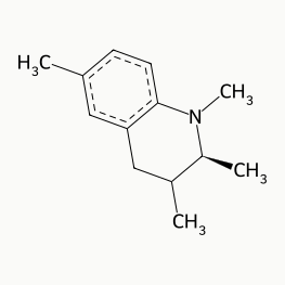 Cc1ccc2c(c1)CC(C)[C@H](C)N2C